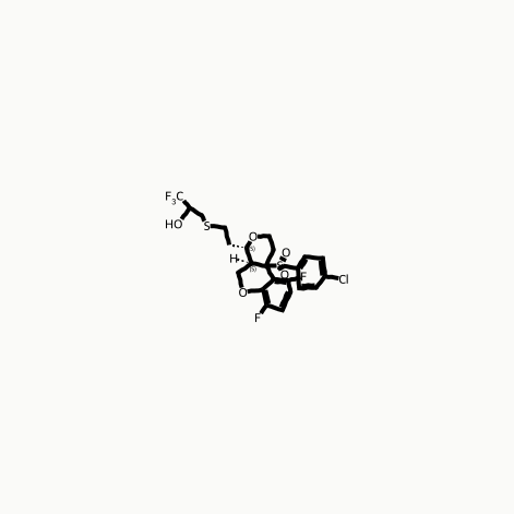 O=S(=O)(c1ccc(Cl)cc1)C12CCO[C@@H](CCSCC(O)C(F)(F)F)[C@@H]1COc1c(F)ccc(F)c12